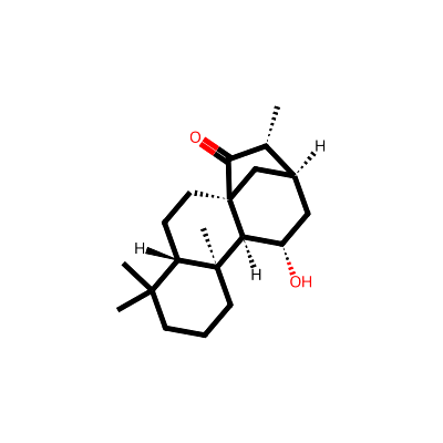 C[C@H]1C(=O)[C@]23CC[C@H]4C(C)(C)CCC[C@]4(C)[C@@H]2[C@@H](O)C[C@H]1C3